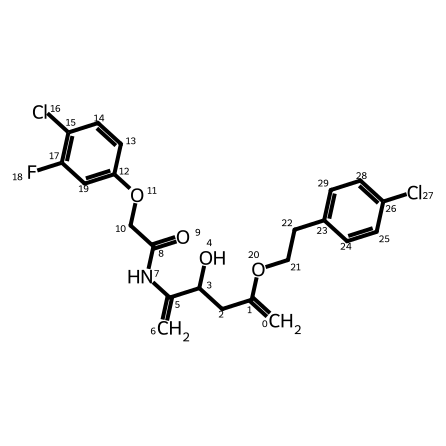 C=C(CC(O)C(=C)NC(=O)COc1ccc(Cl)c(F)c1)OCCc1ccc(Cl)cc1